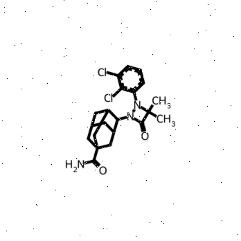 CC1(C)C(=O)N(C2C3CC4CC2CC(C(N)=O)(C4)C3)N1c1cccc(Cl)c1Cl